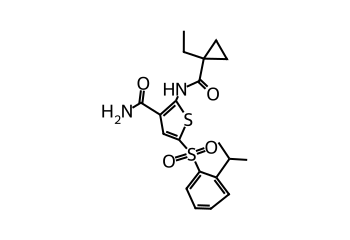 CCC1(C(=O)Nc2sc(S(=O)(=O)c3ccccc3C(C)C)cc2C(N)=O)CC1